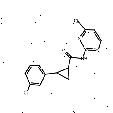 O=C(Nc1nccc(Cl)n1)C1CC1c1cccc(Cl)c1